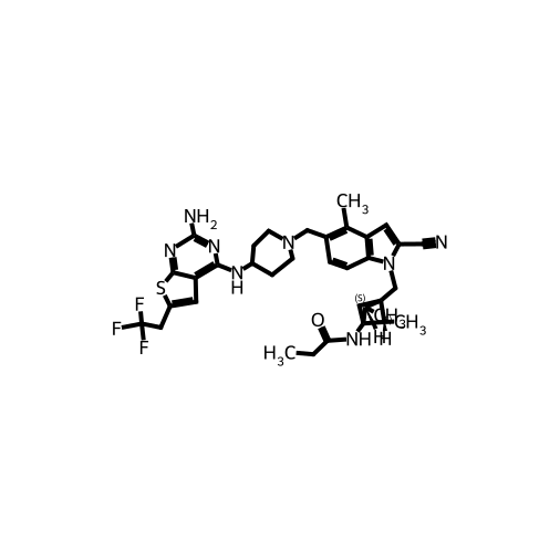 CCC(=O)NC12CC(Cn3c(C#N)cc4c(C)c(CN5CCC(Nc6nc(N)nc7sc(CC(F)(F)F)cc67)CC5)ccc43)([C@@H]1C)[C@@H]2C